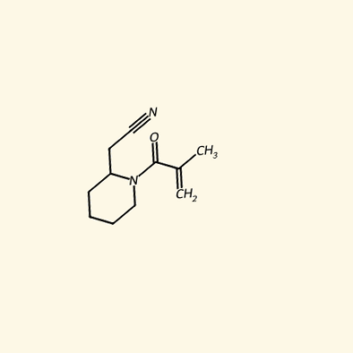 C=C(C)C(=O)N1CCCCC1CC#N